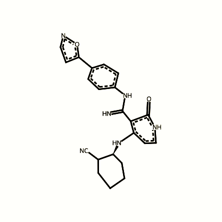 N#CC1CCCC[C@@H]1Nc1cc[nH]c(=O)c1C(=N)Nc1ccc(-c2ccno2)cc1